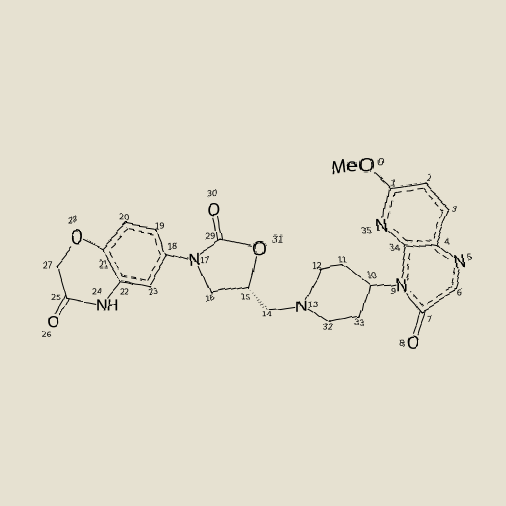 COc1ccc2ncc(=O)n(C3CCN(C[C@@H]4CN(c5ccc6c(c5)NC(=O)CO6)C(=O)O4)CC3)c2n1